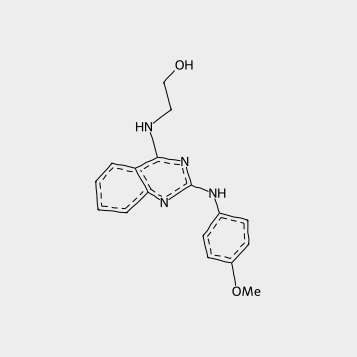 COc1ccc(Nc2nc(NCCO)c3ccccc3n2)cc1